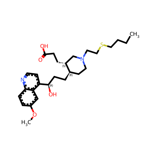 CCCCSCCN1CC[C@@H](CC[C@@H](O)c2ccnc3ccc(OC)cc23)[C@H](CCC(=O)O)C1